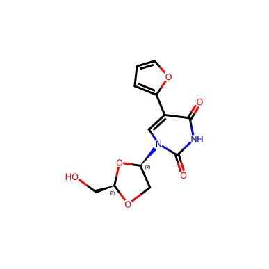 O=c1[nH]c(=O)n([C@H]2CO[C@@H](CO)O2)cc1-c1ccco1